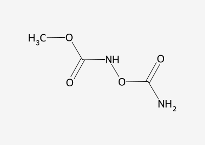 COC(=O)NOC(N)=O